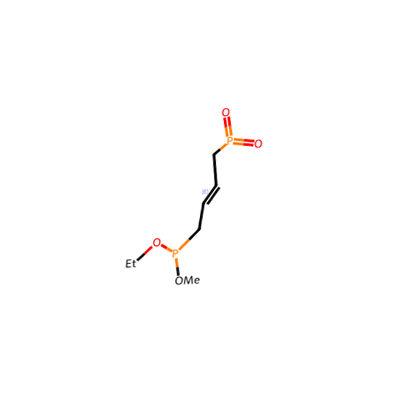 CCOP(C/C=C/CP(=O)=O)OC